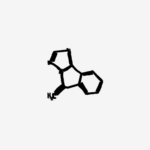 C=c1c2ccccc2c2ncnn12